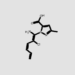 C=C/C=C\C(Cl)=C(/N)n1nc(C)cc1C(=O)O